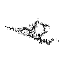 CCCCCCCCCCCCCCCCCC(=O)OC(COCC(COC(=O)NCCCN(C)CCCN)OC(=O)NCCCN(C)CCCN)COCC(COC(=O)NCCCN(C)CCCN)OC(=O)NCCCN(C)CCCN